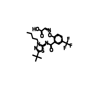 CCCCn1nc(C(C)(C)C)s/c1=N\C(=O)c1cc(C(F)(F)F)ccc1O/N=C\C(=O)O